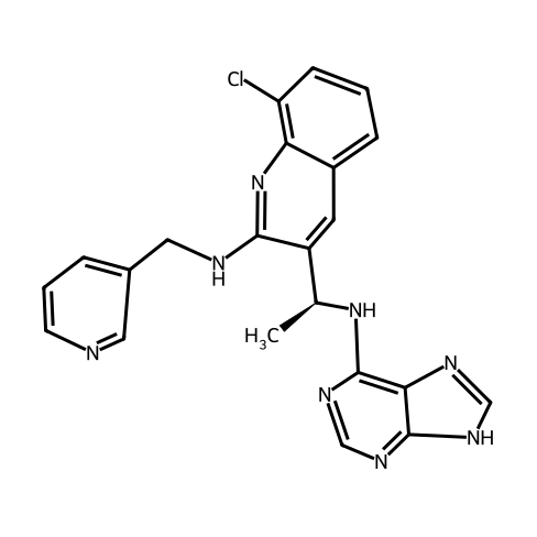 C[C@H](Nc1ncnc2[nH]cnc12)c1cc2cccc(Cl)c2nc1NCc1cccnc1